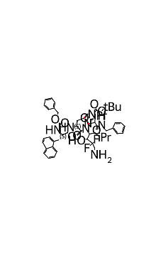 CC(C)CC(C(O)C(F)(F)CN)N(C(=O)C(C(=O)NCc1ccccc1)C(C)C)C(=O)[C@H](Cc1cn(C(=O)OC(C)(C)C)cn1)NC(=O)[C@H](Cc1cccc2ccccc12)NC(=O)OCc1ccccc1